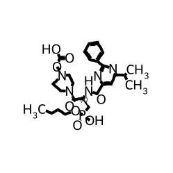 CCCCOP(=O)(O)C[C@H](NC(=O)c1cc(C(C)C)nc(-c2ccccc2)n1)C(=O)N1CCN(OC(=O)O)CC1